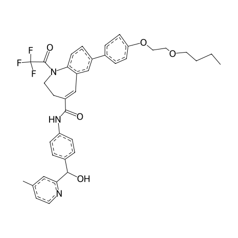 CCCCOCCOc1ccc(-c2ccc3c(c2)C=C(C(=O)Nc2ccc(C(O)c4cc(C)ccn4)cc2)CCN3C(=O)C(F)(F)F)cc1